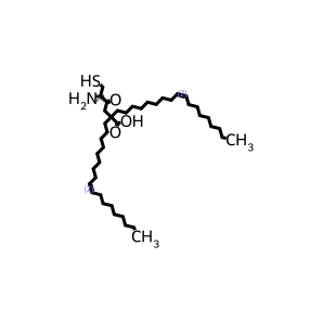 CCCCCCCC/C=C\CCCCCCCCC(CCCCCCCC/C=C\CCCCCCCC)(CC(=O)[C@@H](N)CS)C(=O)O